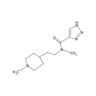 CN1CCC(CCN(C)C(=O)c2c[nH]nn2)CC1